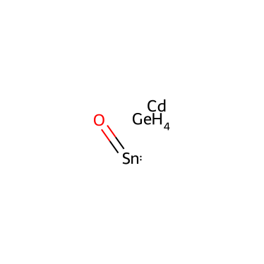 [Cd].[GeH4].[O]=[Sn]